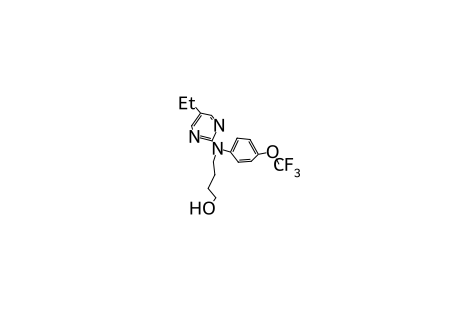 CCc1cnc(N(CCCCO)c2ccc(OC(F)(F)F)cc2)nc1